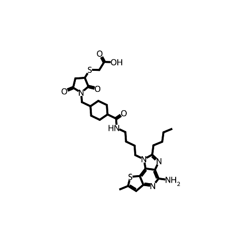 CCCCc1nc2c(N)nc3cc(C)sc3c2n1CCCCNC(=O)C1CCC(CN2C(=O)CC(SCC(=O)O)C2=O)CC1